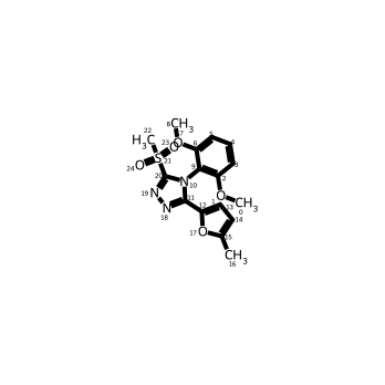 COc1cccc(OC)c1-n1c(-c2ccc(C)o2)nnc1S(C)(=O)=O